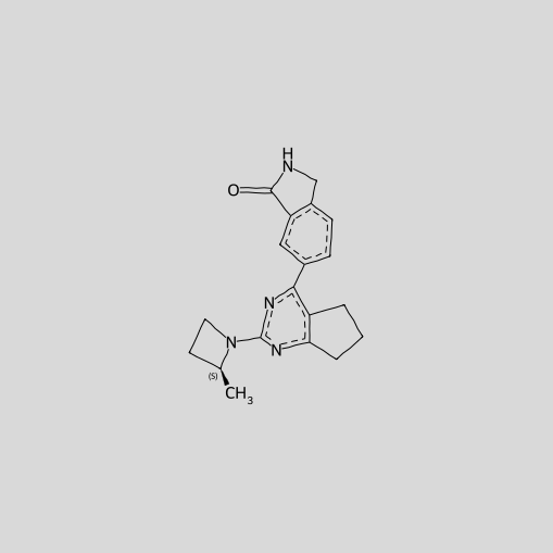 C[C@H]1CCN1c1nc2c(c(-c3ccc4c(c3)C(=O)NC4)n1)CCC2